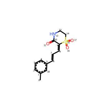 Cc1cccc(/C=C/C=C2\C(=O)NCCS2(=O)=O)c1